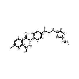 Cc1ccc(C(=O)Nc2ccc(NCCc3csc(N)n3)cc2)c(N(C)C)c1